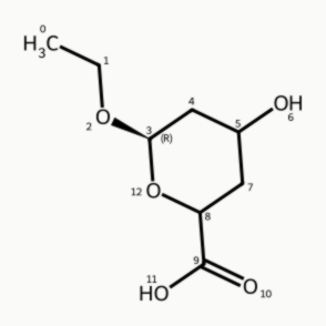 CCO[C@H]1CC(O)CC(C(=O)O)O1